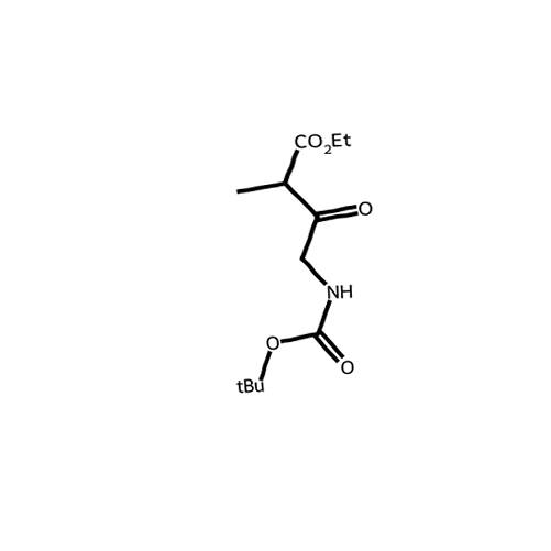 CCOC(=O)C(C)C(=O)CNC(=O)OC(C)(C)C